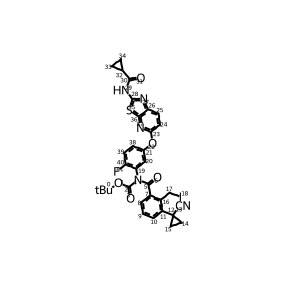 CC(C)(C)OC(=O)N(C(=O)c1cccc(C2(C#N)CC2)c1CI)c1cc(Oc2ccc3nc(NC(=O)C4CC4)sc3n2)ccc1F